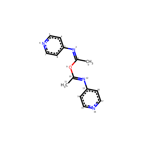 CC(=Nc1ccncc1)OC(C)=Nc1ccncc1